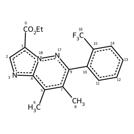 CCOC(=O)c1cnc2c(C)c(C)c(-c3ccccc3C(F)(F)F)nn12